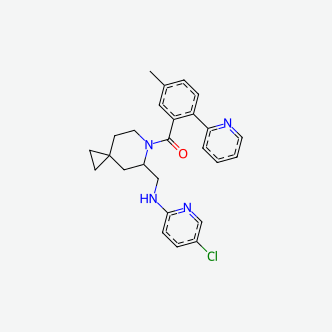 Cc1ccc(-c2ccccn2)c(C(=O)N2CCC3(CC3)CC2CNc2ccc(Cl)cn2)c1